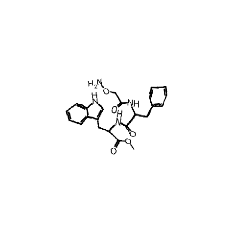 COC(=O)C(Cc1c[nH]c2ccccc12)NC(=O)C(Cc1ccccc1)NC(=O)CON